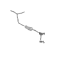 CC(C)CC#CBN